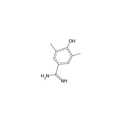 Cc1cc(C(=N)N)cc(C)c1O